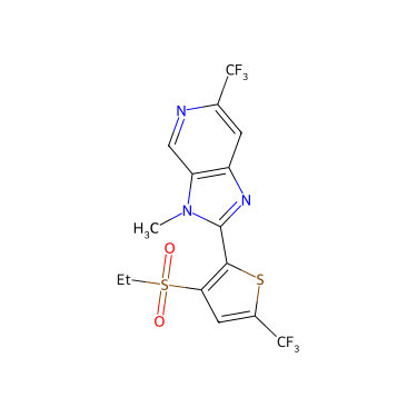 CCS(=O)(=O)c1cc(C(F)(F)F)sc1-c1nc2cc(C(F)(F)F)ncc2n1C